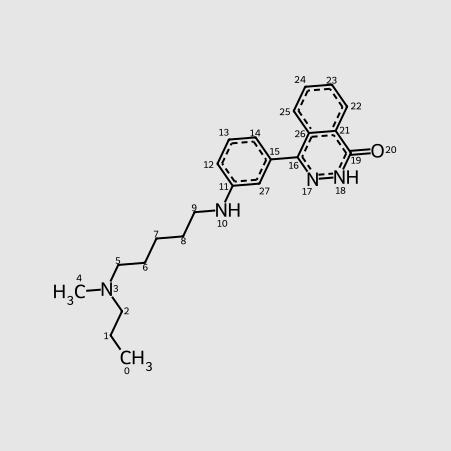 CCCN(C)CCCCCNc1cccc(-c2n[nH]c(=O)c3ccccc23)c1